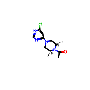 CC(=O)N1[C@H](C)CN(c2cc(Cl)ncn2)C[C@@H]1C